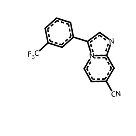 N#Cc1ccn2c(-c3cccc(C(F)(F)F)c3)cnc2c1